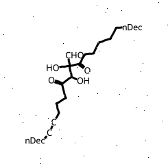 CCCCCCCCCCCCCCCC(=O)C(O)C(O)([C]=O)C(=O)CCCCCCCCCCCCCCC